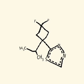 CC(C)C1(c2nncs2)CC(F)(F)C1